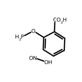 O=C(O)c1ccccc1OP.O=NO